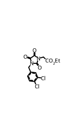 CCOC(=O)CN1C(=O)C(=O)N(Cc2ccc(Cl)c(Cl)c2)C1=O